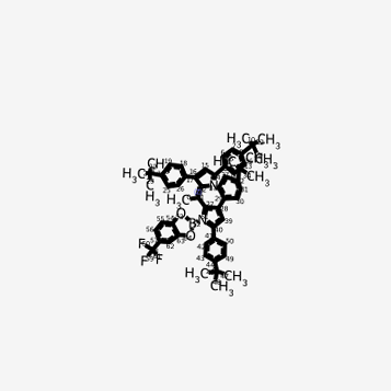 C/C(=C1/N=C(c2ccc(C(C)(C)C)cc2)C=C1c1ccc(C(C)(C)C)cc1)c1c(-c2ccc(C(C)(C)C)cc2)cc(-c2ccc(C(C)(C)C)cc2)n1B1Oc2ccc(C(F)(F)F)cc2O1